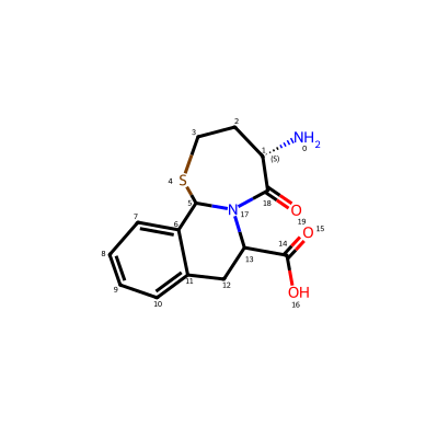 N[C@H]1CCSC2c3ccccc3CC(C(=O)O)N2C1=O